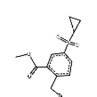 COC(=O)c1cc(S(=O)(=O)C2CC2)ccc1CBr